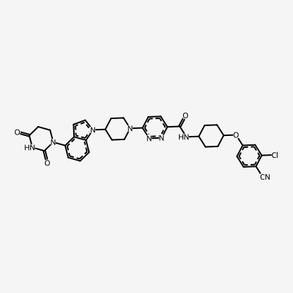 N#Cc1ccc(OC2CCC(NC(=O)c3ccc(N4CCC(n5ccc6c(N7CCC(=O)NC7=O)cccc65)CC4)nn3)CC2)cc1Cl